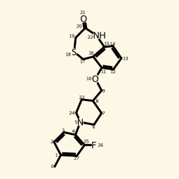 Cc1ccc(N2CCC(COc3cccc4c3CSCC(=O)N4)CC2)c(F)c1